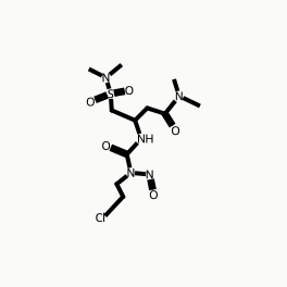 CN(C)C(=O)CC(CS(=O)(=O)N(C)C)NC(=O)N(CCCl)N=O